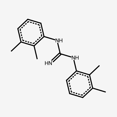 Cc1cccc(NC(=N)Nc2cccc(C)c2C)c1C